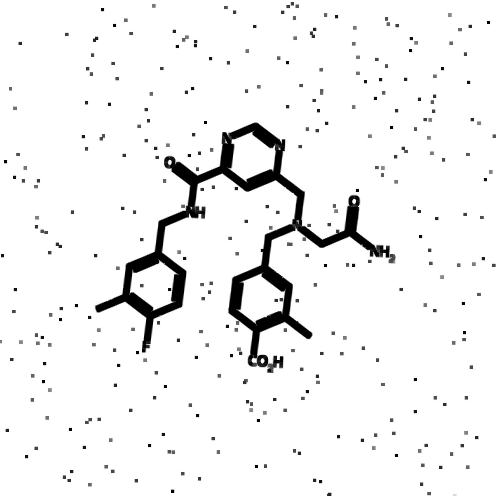 Cc1cc(CNC(=O)c2cc(CN(CC(N)=O)Cc3ccc(C(=O)O)c(C)c3)ncn2)ccc1F